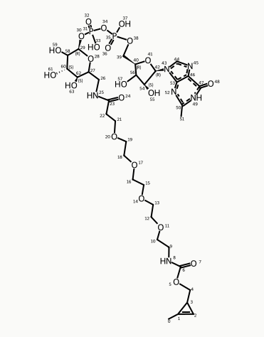 CC1=CC1COC(=O)NCCOCCOCCOCCOCCC(=O)NCC1O[C@H](OP(=O)(O)OP(=O)(O)OC[C@H]2O[C@@H](n3cnc4c(=O)[nH]c(C)nc43)[C@@H](O)C2O)C(O)[C@@H](O)[C@@H]1O